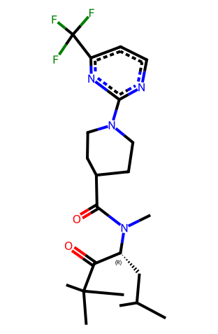 CC(C)C[C@H](C(=O)C(C)(C)C)N(C)C(=O)C1CCN(c2nccc(C(F)(F)F)n2)CC1